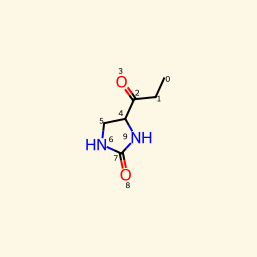 CCC(=O)C1CNC(=O)N1